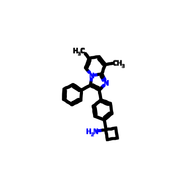 Cc1cc(C)c2nc(-c3ccc(C4(N)CCC4)cc3)c(-c3ccccc3)n2c1